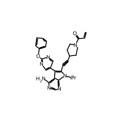 C=CC(=O)N1CCC(C#Cc2c(-c3cnc(Oc4ccccc4)nc3)c3c(N)ncnc3n2C(C)C)CC1